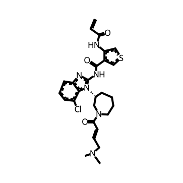 C=CC(=O)Nc1cscc1C(=O)Nc1nc2cccc(Cl)c2n1[C@@H]1CCCCN(C(=O)/C=C/CN(C)C)C1